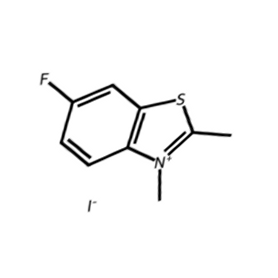 Cc1sc2cc(F)ccc2[n+]1C.[I-]